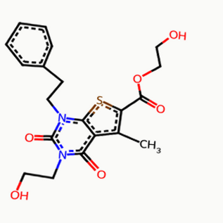 Cc1c(C(=O)OCCO)sc2c1c(=O)n(CCO)c(=O)n2CCc1ccccc1